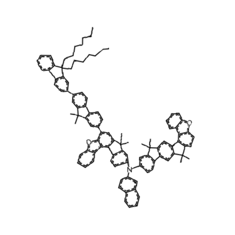 CCCCCCCC1(CCCCCCC)c2ccccc2-c2ccc(-c3ccc4c(c3)C(C)(C)c3cc(-c5cc6c(c7c5oc5ccccc57)-c5ccc(N(c7ccc8c(c7)C(C)(C)c7cc9c(cc7-8)C(C)(C)c7ccc8oc%10ccccc%10c8c7-9)c7ccc8ccccc8c7)cc5C6(C)C)ccc3-4)cc21